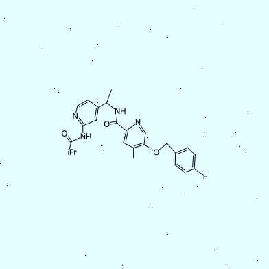 Cc1cc(C(=O)NC(C)c2ccnc(NC(=O)C(C)C)c2)ncc1OCc1ccc(F)cc1